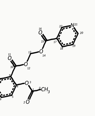 CC(=O)Oc1ccccc1C(=O)OCOC(=O)c1cccnc1